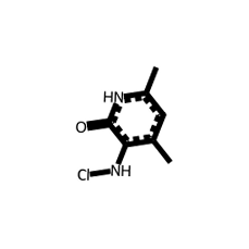 Cc1cc(C)c(NCl)c(=O)[nH]1